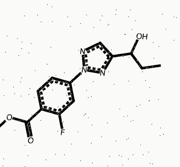 CCC(O)c1cnn(-c2ccc(C(=O)OC)c(F)c2)n1